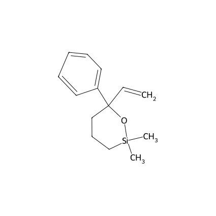 C=CC1(c2ccccc2)CCC[Si](C)(C)O1